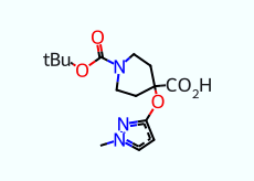 Cn1ccc(OC2(C(=O)O)CCN(C(=O)OC(C)(C)C)CC2)n1